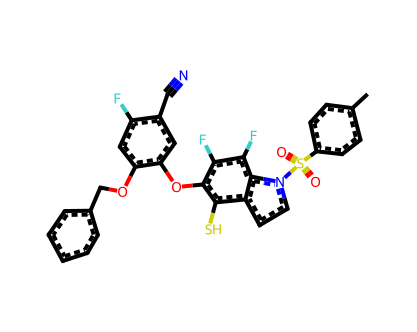 Cc1ccc(S(=O)(=O)n2ccc3c(S)c(Oc4cc(C#N)c(F)cc4OCc4ccccc4)c(F)c(F)c32)cc1